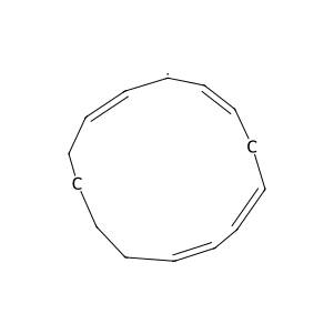 [CH]1C=CCC=CC=CCCCCC=C1